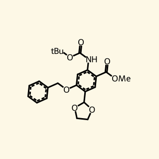 COC(=O)c1cc(C2OCCO2)c(OCc2ccccc2)cc1NC(=O)OC(C)(C)C